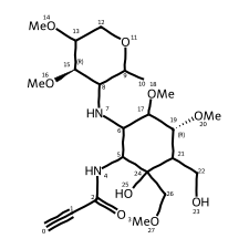 C#CC(=O)NC1C(NC2C(C)OCC(OC)[C@@H]2OC)C(OC)[C@H](OC)C(CO)C1(O)COC